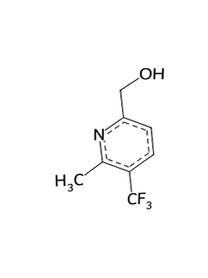 Cc1nc(CO)ccc1C(F)(F)F